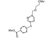 COCCOCc1ccc(Sc2ccc(C(=O)OC)cc2)cn1